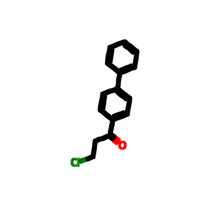 O=C(CCCl)c1ccc(-c2ccccc2)cc1